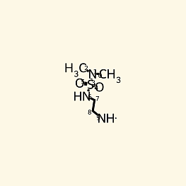 CN(C)S(=O)(=O)NCC[NH]